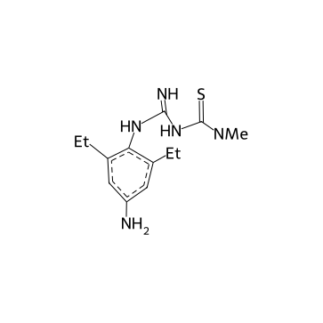 CCc1cc(N)cc(CC)c1NC(=N)NC(=S)NC